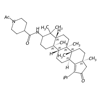 CC(=O)N1CCC(C(=O)NC2CC[C@]3(C)[C@H]4CC[C@@H]5C6=C(C(C)C)C(=O)C[C@]6(C)CC[C@@]5(C)[C@]4(C)CC[C@H]3C2(C)C)CC1